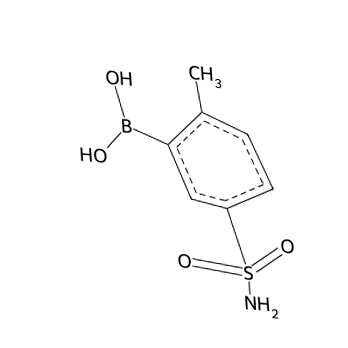 Cc1ccc(S(N)(=O)=O)cc1B(O)O